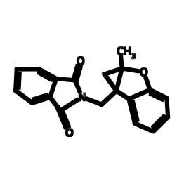 CC12CC1(CN1C(=O)c3ccccc3C1=O)c1ccccc1O2